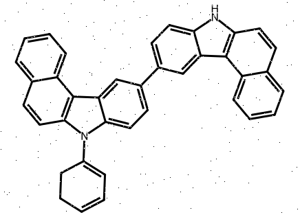 C1=CCCC(n2c3ccc(-c4ccc5[nH]c6ccc7ccccc7c6c5c4)cc3c3c4ccccc4ccc32)=C1